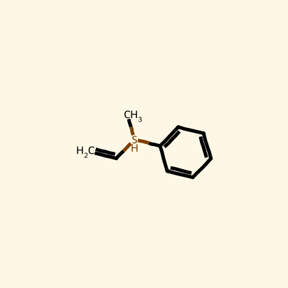 C=C[SH](C)c1ccccc1